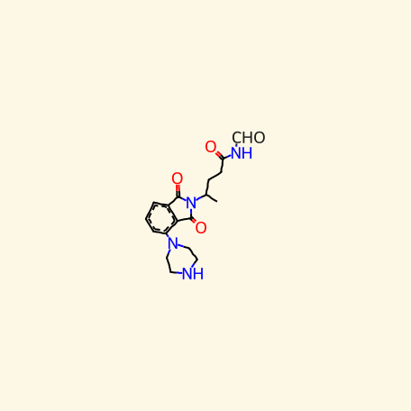 CC(CCC(=O)NC=O)N1C(=O)c2cccc(N3CCNCC3)c2C1=O